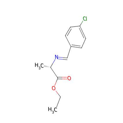 CCOC(=O)[C@H](C)/N=C/c1ccc(Cl)cc1